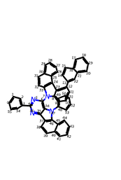 c1ccc(-c2nc(-n3c4cccc(-c5ccc6ccccc6c5)c4c4c5ccccc5ccc43)c3c(n2)c2ccc4ccccc4c2n3-c2ccccc2)cc1